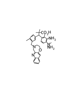 Cc1ccc(C(c2ccc(N(C)N)c(N)c2C)C(C)(C)C(=O)O)cc1CN1CCOc2cc3ccccc3nc2C1